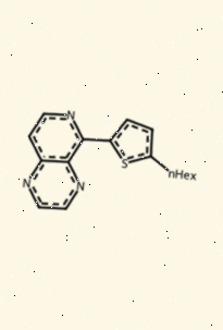 CCCCCCc1ccc(-c2nccc3nccnc23)s1